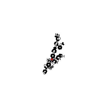 CC(C)Oc1ccccc1[C@@H]1CN([C@@H]2COc3ncncc3C2)CCN1C1CC2(CCN(c3ccc(C(=O)NS(=O)(=O)c4cc5c(c([N+](=O)[O-])c4)N[C@H](C4CCOCC4)CO5)c(N4c5cc6cc[nH]c6nc5O[C@H]5COCC[C@@H]54)c3)CC2)C1